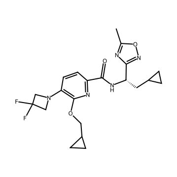 Cc1nc([C@H](CC2CC2)NC(=O)c2ccc(N3CC(F)(F)C3)c(OCC3CC3)n2)no1